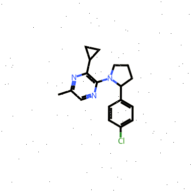 Cc1cnc(N2CCCC2c2ccc(Cl)cc2)c(C2CC2)n1